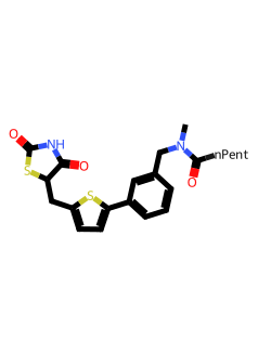 CCCCCC(=O)N(C)Cc1cccc(-c2ccc(CC3SC(=O)NC3=O)s2)c1